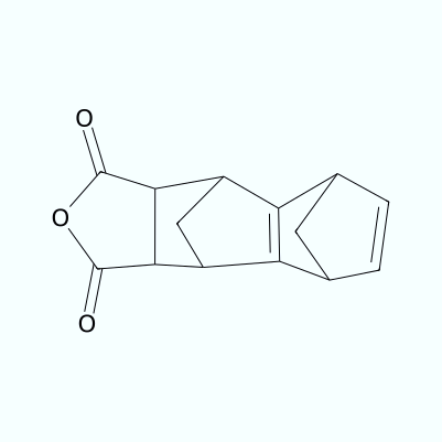 O=C1OC(=O)C2C3CC(C4=C3C3C=CC4C3)C12